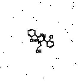 OCCN1NC(c2ccccc2Cl)=NN=C1c1ccccc1Cl